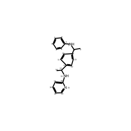 CC(Nc1ccccc1)c1ccc(C(C)Nc2ccccn2)cc1